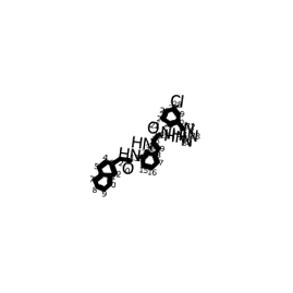 O=C(Cc1ccc2ccccc2c1)Nc1cccc2cc(C(=O)Nc3ccc(Cl)cc3-c3nnn[nH]3)[nH]c12